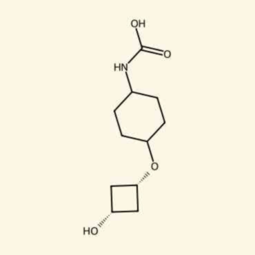 O=C(O)NC1CCC(O[C@H]2C[C@@H](O)C2)CC1